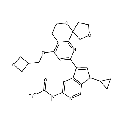 CC(=O)Nc1cc2c(-c3cc(OCC4COC4)c4c(n3)C3(CCOC3)OCC4)cn(C3CC3)c2cn1